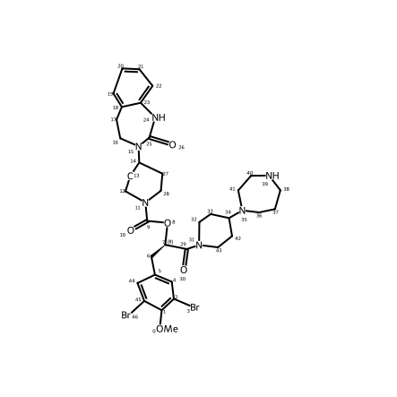 COc1c(Br)cc(C[C@@H](OC(=O)N2CCC(N3CCc4ccccc4NC3=O)CC2)C(=O)N2CCC(N3CCCNCC3)CC2)cc1Br